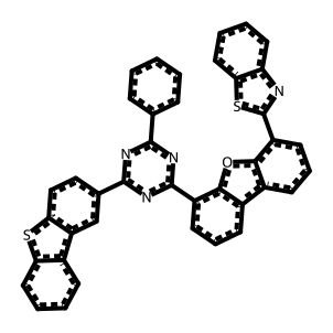 c1ccc(-c2nc(-c3ccc4sc5ccccc5c4c3)nc(-c3cccc4c3oc3c(-c5nc6ccccc6s5)cccc34)n2)cc1